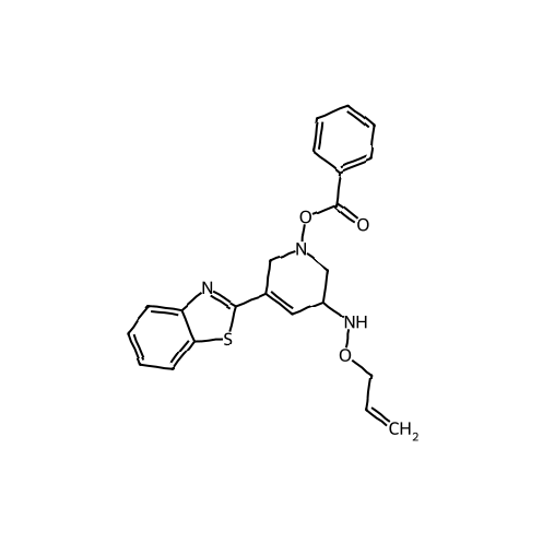 C=CCONC1C=C(c2nc3ccccc3s2)CN(OC(=O)c2ccccc2)C1